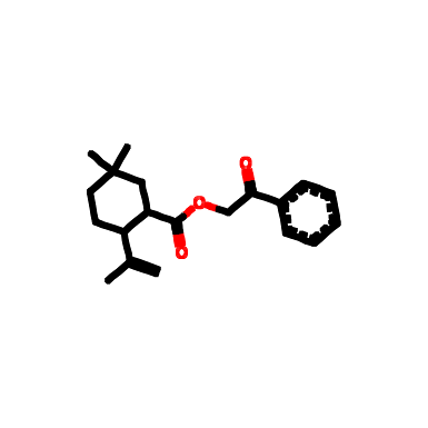 C=C(C)C1CCC(C)(C)CC1C(=O)OCC(=O)c1ccccc1